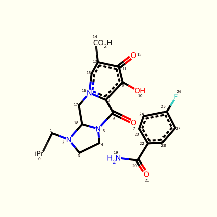 CC(C)CN1CCN2C(=O)c3c(O)c(=O)c(C(=O)O)cn3CC12.NC(=O)c1ccc(F)cc1